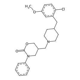 COc1ccc(Cl)c(CC2CCN(CC3COC(=O)N(c4ccccc4)C3)CC2)c1